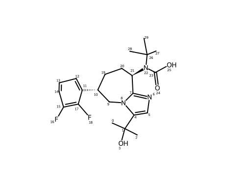 CC(C)(O)c1cnc2n1C[C@H](c1cccc(F)c1F)CC[C@H]2N(C(=O)O)C(C)(C)C